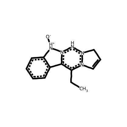 CCc1c2n([nH]n3n1C=CC3)[NH+]([O-])c1ccccc1-2